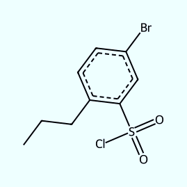 CCCc1ccc(Br)cc1S(=O)(=O)Cl